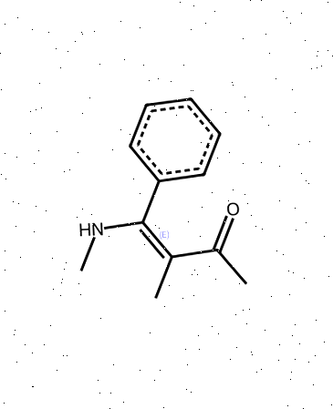 CN/C(=C(\C)C(C)=O)c1ccccc1